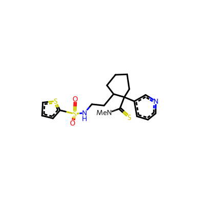 CNC(=S)C1(c2cccnc2)CCCCC1CCNS(=O)(=O)c1cccs1